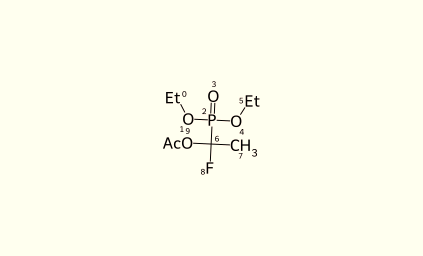 CCOP(=O)(OCC)C(C)(F)OC(C)=O